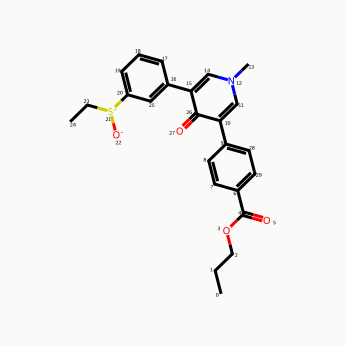 CCCOC(=O)c1ccc(-c2cn(C)cc(-c3cccc([S+]([O-])CC)c3)c2=O)cc1